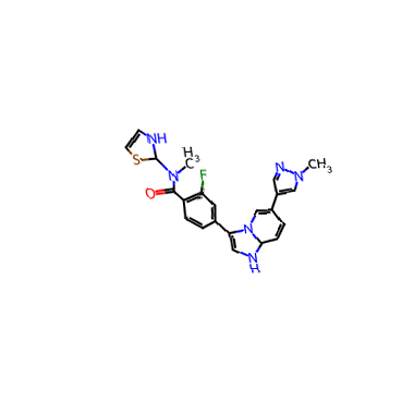 CN(C(=O)c1ccc(C2=CNC3C=CC(c4cnn(C)c4)=CN23)cc1F)C1NC=CS1